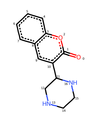 O=c1oc2ccccc2cc1C1CNCCN1